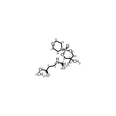 COC(=O)CCNC(=O)[C@@H]1O[P@](=O)(N2CCOCC2)OCC1(C)C